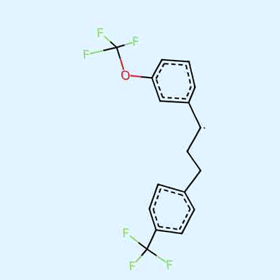 FC(F)(F)Oc1cccc([CH]CCc2ccc(C(F)(F)F)cc2)c1